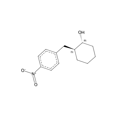 O=[N+]([O-])c1ccc(C[C@@H]2CCCC[C@H]2O)cc1